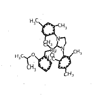 Cc1cc(C)c(N2CCN(c3c(C)cc(C)cc3C)[CH]2[Ru]([Cl])([Cl])[CH2]c2ccccc2OC(C)C)c(C)c1